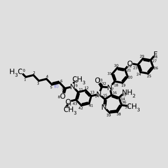 CCCCC/C=C/C(=O)N(C)c1cc(-n2c3c(n(-c4ccc(Oc5cccc(F)c5)cc4)c2=O)=C(N)C(C)=C=CN=3)ccc1OC